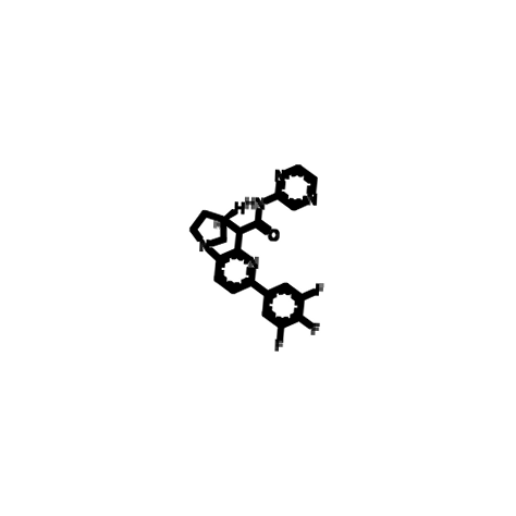 O=C(Nc1cnccn1)C1c2nc(-c3cc(F)c(F)c(F)c3)ccc2N2CC[C@H]1C2